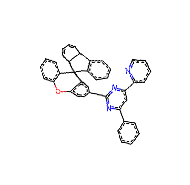 C1=CC2c3ccccc3C3(c4ccccc4Oc4ccc(-c5nc(-c6ccccc6)cc(-c6ccccn6)n5)cc43)C2C=C1